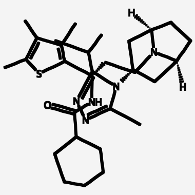 Cc1sc([C@H](CCN2[C@@H]3CC[C@H]2C[C@H](n2c(C)nnc2C(C)C)C3)NC(=O)C2CCCCC2)c(C)c1C